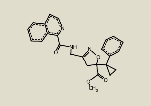 COC(=O)C1(C2(c3ccccc3)CC2)CC(CNC(=O)c2nccc3ccccc23)=NO1